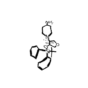 CC(C)(C)[Si](O[C@@H]1COC[C@]1(C)N1CCC(N)CC1)(c1ccccc1)c1ccccc1